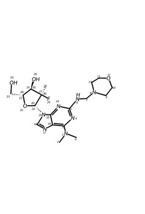 CN(C)c1nc(NCN2CCOCC2)nc2c1ncn2[C@@H]1O[C@H](CO)[C@@H](O)[C@@]1(C)F